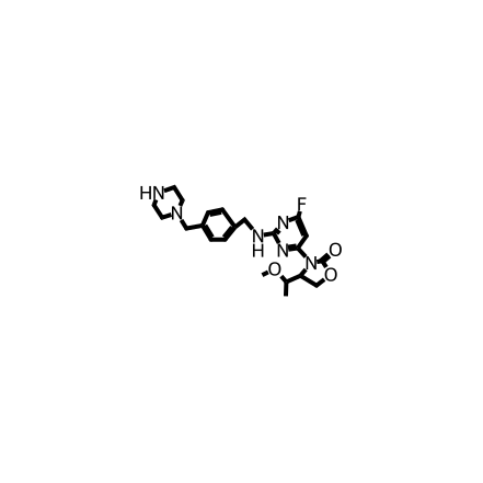 COC(C)C1COC(=O)N1c1cc(F)nc(NCc2ccc(CN3CCNCC3)cc2)n1